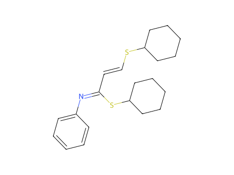 C(=CC(=Nc1ccccc1)SC1CCCCC1)SC1CCCCC1